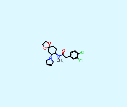 CN(C(=O)Cc1ccc(Cl)c(Cl)c1)C1CCC2(CC1N1CC=CC1)OCCO2